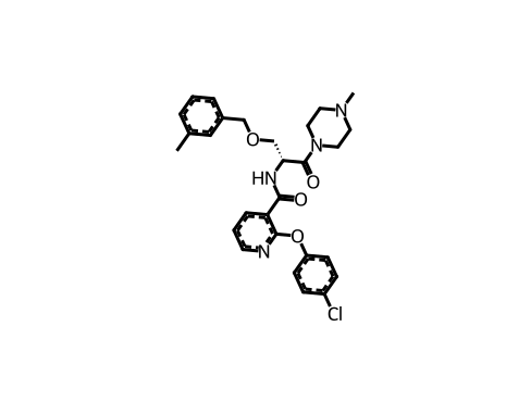 Cc1cccc(COC[C@@H](NC(=O)c2cccnc2Oc2ccc(Cl)cc2)C(=O)N2CCN(C)CC2)c1